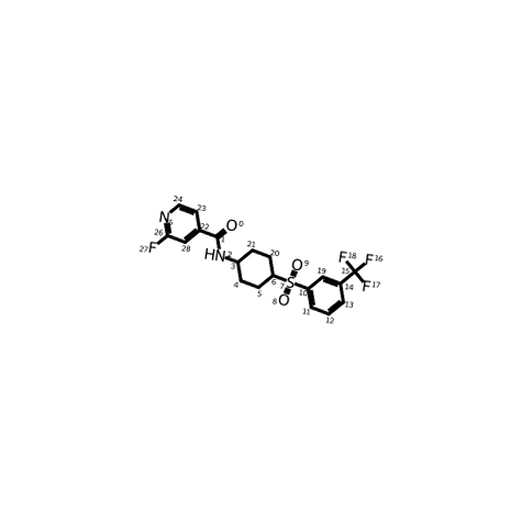 O=C(NC1CCC(S(=O)(=O)c2cccc(C(F)(F)F)c2)CC1)c1ccnc(F)c1